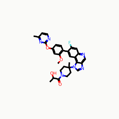 COc1cc(Oc2nccc(C)n2)ccc1-c1cc2c(cc1F)ncc1ncn(C3(C)CCN(C(=O)C(C)O)CC3)c12